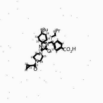 CC(C)CC[C@H](c1ccc(C(=O)O)cc1)N1C(=O)C(N2CCN(C(=O)C3CC3)CC2)=NC12CCC(C(C)(C)C)CC2